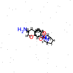 CC(C)(C)OC(=O)N1C2CCC1CN(c1ccc3c(c1)OC[C@H](N)C3)C2